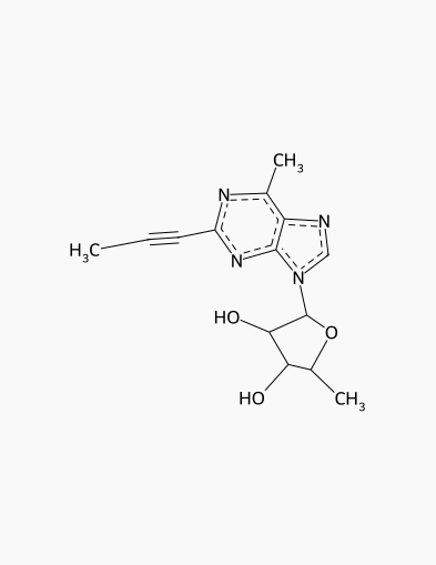 CC#Cc1nc(C)c2ncn(C3OC(C)C(O)C3O)c2n1